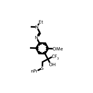 CCCSCC(O)(c1cc(C)c(/N=C/N(C)CC)cc1OC)C(F)(F)F